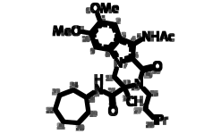 COc1cc2c(NC(C)=O)c3n(c2cc1OC)CC(C)(C(=O)NC1CCCCCC1)N(CCC(C)C)C3=O